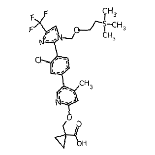 Cc1cc(OCC2(C(=O)O)CC2)ncc1-c1ccc(-c2nc(C(F)(F)F)cn2COCCS(C)(C)C)c(Cl)c1